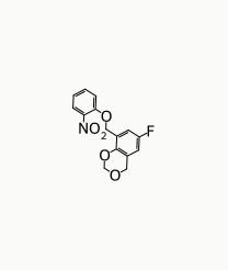 O=[N+]([O-])c1ccccc1OCc1cc(F)cc2c1OCOC2